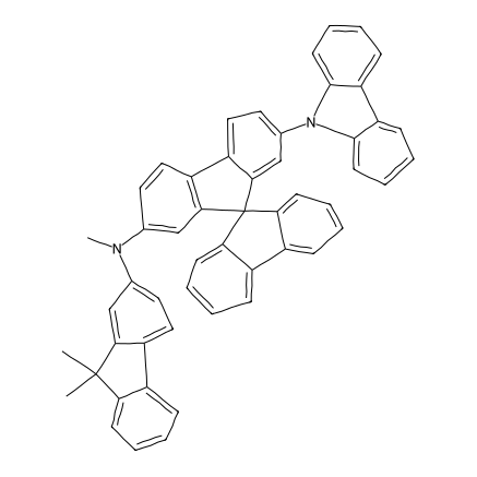 CN(c1ccc2c(c1)C(C)(C)c1ccccc1-2)c1ccc2c(c1)C1(c3ccccc3-c3ccccc31)c1cc(-n3c4ccccc4c4ccccc43)ccc1-2